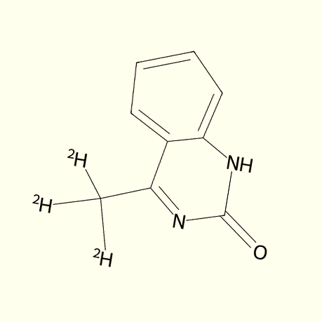 [2H]C([2H])([2H])c1nc(=O)[nH]c2ccccc12